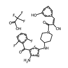 N#CC(=Cc1cccc(O)c1)C(=O)N1CCC(Nc2nc(N)c(C(=O)c3c(F)cccc3F)s2)CC1.O=C(O)C(F)(F)F